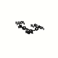 COc1ccc(CCNCC(O)COc2ccc(NN=CC(C)C)nn2)cc1OC.Cl.Cl